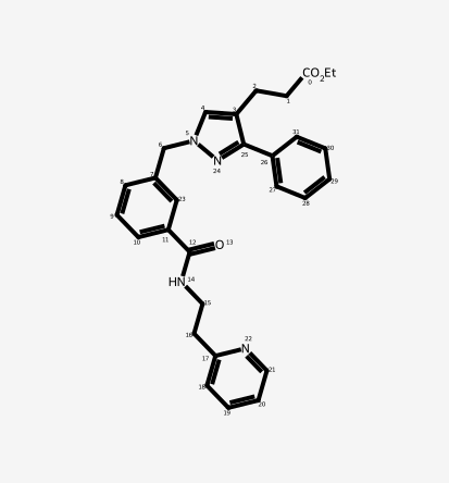 CCOC(=O)CCc1cn(Cc2cccc(C(=O)NCCc3ccccn3)c2)nc1-c1ccccc1